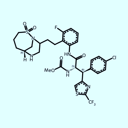 COC(=O)N[C@H](C(=O)Nc1cccc(F)c1CCC1CN[C@@H]2CCCS(=O)(=O)N1C2)[C@@H](c1ccc(Cl)cc1)c1csc(C(F)(F)F)n1